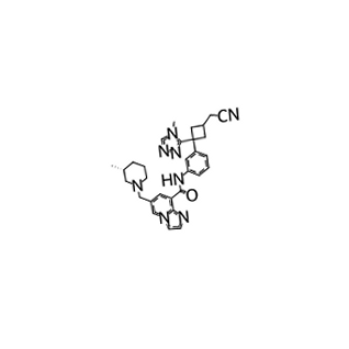 C[C@@H]1CCCN(Cc2cc(C(=O)Nc3cccc(C4(c5nncn5C)CC(CC#N)C4)c3)c3nccn3c2)C1